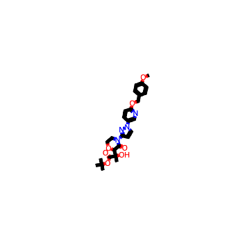 COc1ccc(COc2ccc(-n3ccc(N4CCOC(C(C)(O)C(=O)OC(C)(C)C)C4=O)n3)cn2)cc1